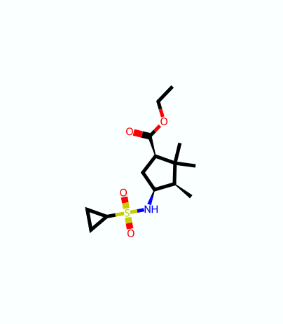 CCOC(=O)[C@@H]1C[C@H](NS(=O)(=O)C2CC2)[C@H](C)C1(C)C